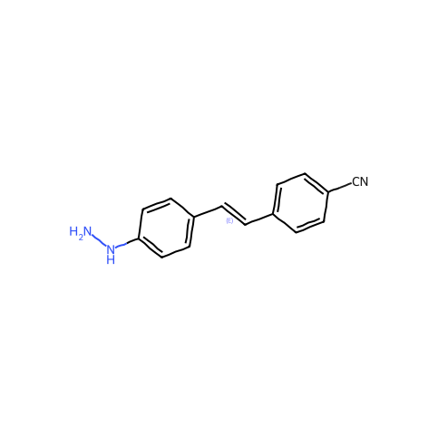 N#Cc1ccc(/C=C/c2ccc(NN)cc2)cc1